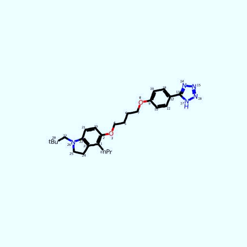 CCCc1c(OCCCCOc2ccc(-c3nnn[nH]3)cc2)ccc2c1CCN2CC(C)(C)C